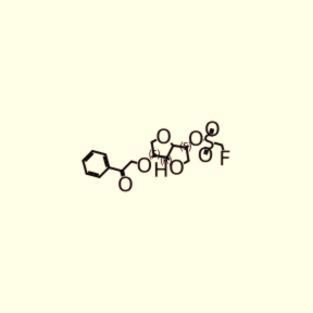 O=C(CO[C@H]1COC2[C@@H](OS(=O)(=O)CF)CO[C@@H]21)c1ccccc1